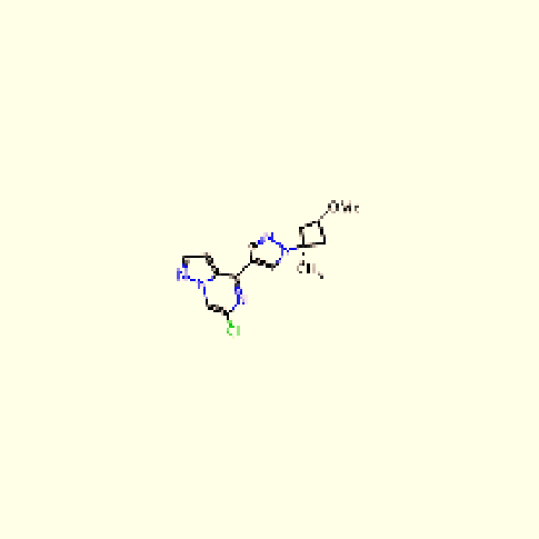 CO[C@H]1C[C@](C)(n2cc(-c3nc(Cl)cn4nccc34)cn2)C1